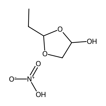 CCC1OCC(O)O1.O=[N+]([O-])O